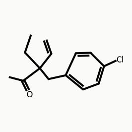 C=CC(CC)(Cc1ccc(Cl)cc1)C(C)=O